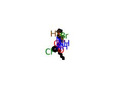 CCCCCC(=O)c1cc(Cl)ccc1NC(=O)Nc1nc(C[SH]2C=CC=C2)c(Br)s1